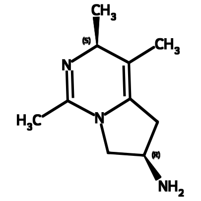 CC1=N[C@@H](C)C(C)=C2C[C@@H](N)CN12